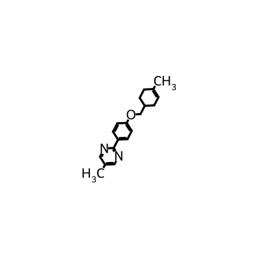 CC1=CCC(COc2ccc(-c3ncc(C)cn3)cc2)CC1